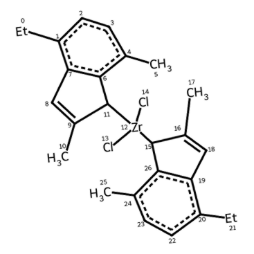 CCc1ccc(C)c2c1C=C(C)[CH]2[Zr]([Cl])([Cl])[CH]1C(C)=Cc2c(CC)ccc(C)c21